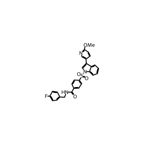 COc1ccc(-c2cn(S(=O)(=O)c3ccc(C(=O)NCc4ccc(F)cc4)cc3)c3ccccc23)cn1